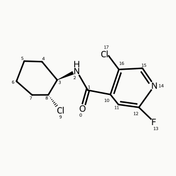 O=C(N[C@@H]1CCCC[C@H]1Cl)c1cc(F)ncc1Cl